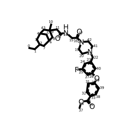 CCC1CC2CC(C1)CC(C)(CC(=O)NCC(=O)N1CCN(Cc3cc(F)cc(Oc4ccc(C(=O)OC)cc4)c3)CC1)C2